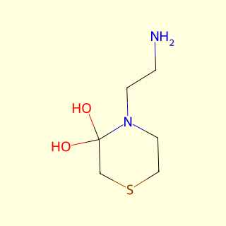 NCCN1CCSCC1(O)O